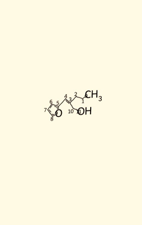 CCCC(=Cc1ccco1)CO